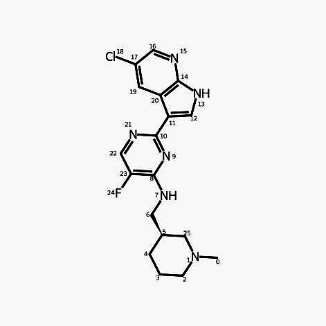 CN1CCC[C@@H](CNc2nc(-c3c[nH]c4ncc(Cl)cc34)ncc2F)C1